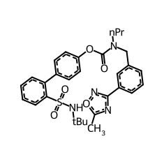 CCCN(Cc1cccc(-c2noc(C)n2)c1)C(=O)Oc1ccc(-c2ccccc2S(=O)(=O)NC(C)(C)C)cc1